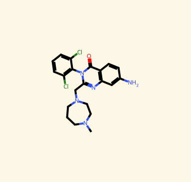 CN1CCCN(Cc2nc3cc(N)ccc3c(=O)n2-c2c(Cl)cccc2Cl)CC1